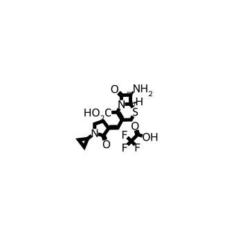 N[C@@H]1C(=O)N2C(C(=O)O)=C(C=C3CCN(C4CC4)C3=O)CS[C@H]12.O=C(O)C(F)(F)F